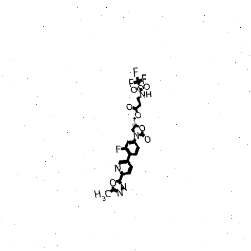 Cc1nnc(-c2ccc(-c3ccc(N4C[C@H](COC(=O)CCNS(=O)(=O)C(F)(F)F)OC4=O)cc3F)cn2)o1